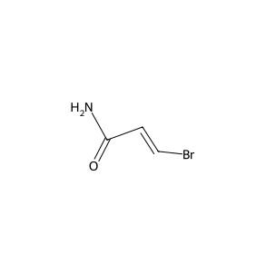 NC(=O)C=CBr